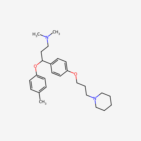 Cc1ccc(OC(CCN(C)C)c2ccc(OCCCN3CCCCC3)cc2)cc1